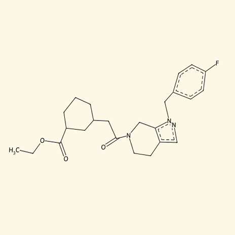 CCOC(=O)C1CCCC(CC(=O)N2CCc3cnn(Cc4ccc(F)cc4)c3C2)C1